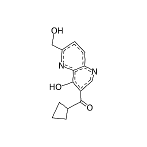 O=C(c1cnc2ccc(CO)nc2c1O)C1CCC1